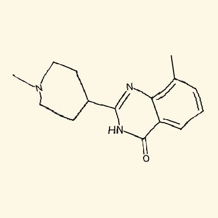 Cc1cccc2c(=O)[nH]c(C3CCN(C)CC3)nc12